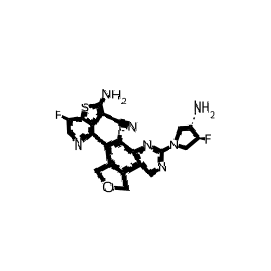 N#Cc1c(N)sc2c(F)cnc(-c3c4c(c5cnc(N6C[C@H](N)[C@@H](F)C6)nc5c3F)COC4)c12